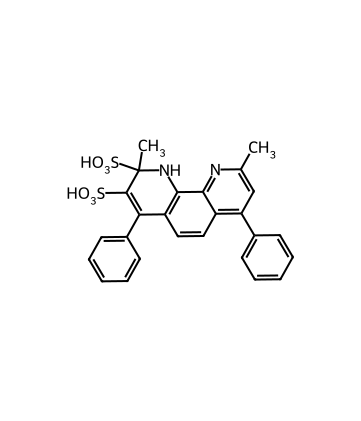 Cc1cc(-c2ccccc2)c2ccc3c(c2n1)NC(C)(S(=O)(=O)O)C(S(=O)(=O)O)=C3c1ccccc1